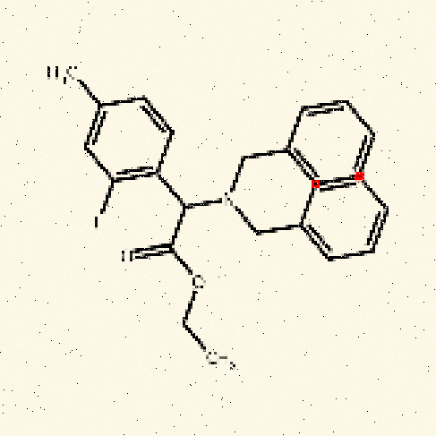 CCOC(=O)C(c1ccc(C)cc1F)N(Cc1ccccc1)Cc1ccccc1